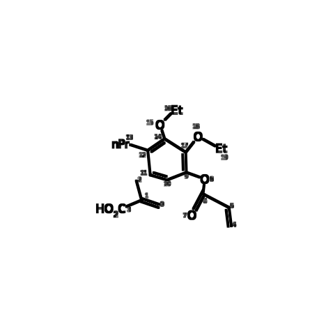 C=C(C)C(=O)O.C=CC(=O)Oc1ccc(CCC)c(OCC)c1OCC